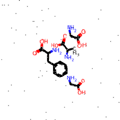 CC(N)C(=O)O.NC(Cc1ccccc1)C(=O)O.NCC(=O)O.NCC(=O)O